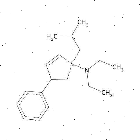 CCN(CC)S1(CC(C)C)C=CC(c2ccccc2)=C1